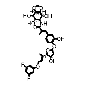 CC(=Cc1ccc(O[C@H]2C[C@H](O)[C@@H](C(C)=CCOc3cc(F)cc(F)c3)O2)c(O)c1)C(=O)N[C@@H]1[C@H](O)[C@@H](O)[C@H]2OCO[C@H]2[C@@H]1O